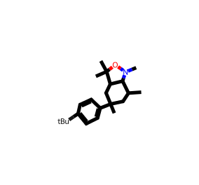 CC1CC(C)(c2ccc(C(C)(C)C)cc2)CC2C1N(C)OC2(C)C